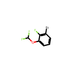 [CH2]Cc1cccc(OC(F)F)c1F